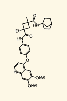 CCC1(C(=O)Nc2ccc(Oc3ccnc4cc(OC)c(OC)cc34)cc2)CC(C)(C(=O)NC23CCC(CC2)C3)C1